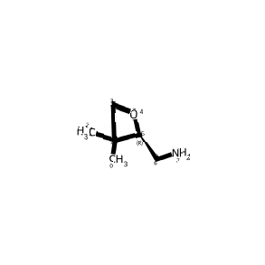 CC1(C)CO[C@H]1CN